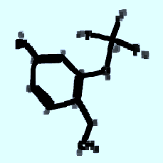 CCc1ccc(Br)cc1OC(F)(F)F